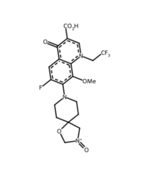 COc1c(N2CCC3(CC2)C[N+](=O)CO3)c(F)cc2c(=O)c(C(=O)O)cn(CC(F)(F)F)c12